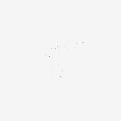 CCC(Cc1ccc(O)cc1)(NS(=O)(=O)c1ccc(C)cc1)C(=O)O